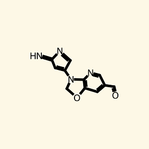 N=C1C=C(N2COc3cc(C=O)cnc32)C=N1